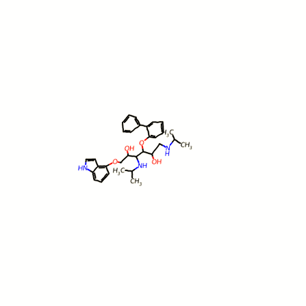 CC(C)NCC(O)C(Oc1ccccc1-c1ccccc1)C(NC(C)C)C(O)COc1cccc2[nH]ccc12